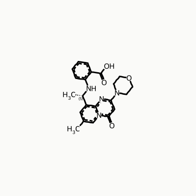 Cc1cc([C@H](C)Nc2ccccc2C(=O)O)c2nc(N3CCOCC3)cc(=O)n2c1